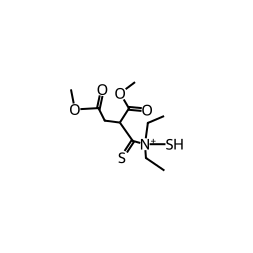 CC[N+](S)(CC)C(=S)C(CC(=O)OC)C(=O)OC